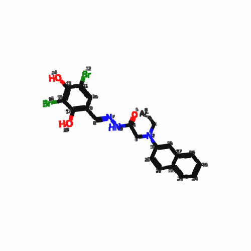 CC(=O)CN(CC(=O)N/N=C/c1cc(Br)c(O)c(Br)c1O)c1ccc2ccccc2c1